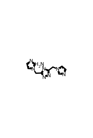 Nn1c(Cn2ccnc2)nnc1Cn1ccnc1